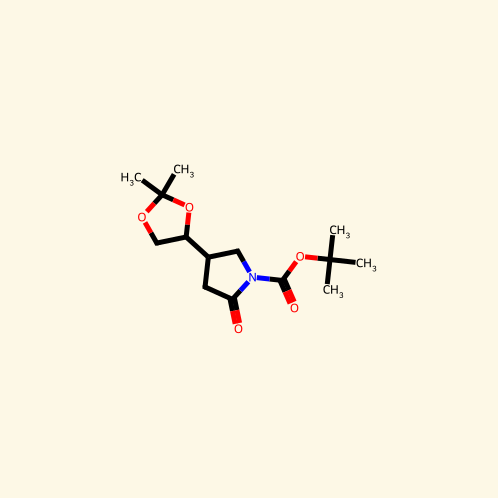 CC(C)(C)OC(=O)N1CC(C2COC(C)(C)O2)CC1=O